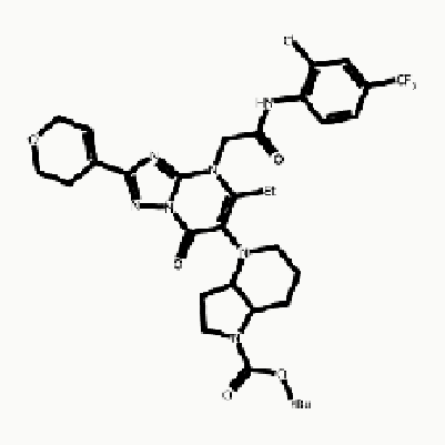 CCc1c(N2CCCC3C2CCN3C(=O)OC(C)(C)C)c(=O)n2nc(C3=CCOCC3)nc2n1CC(=O)Nc1ccc(C(F)(F)F)cc1Cl